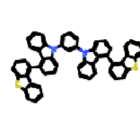 c1cc(-n2c3ccccc3c3c(-c4cccc5sc6ccccc6c45)cccc32)cc(-n2c3ccccc3c3c(-c4cccc5sc6ccccc6c45)cccc32)c1